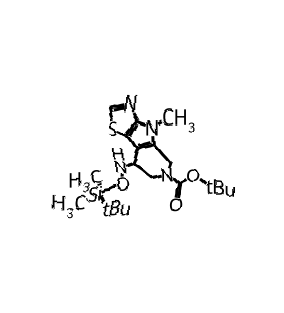 Cn1c2c(c3scnc31)C(NO[Si](C)(C)C(C)(C)C)CN(C(=O)OC(C)(C)C)C2